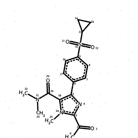 CC(=O)c1nc(-c2ccc(S(=O)(=O)C3CC3)cc2)c(C(=O)N(C)C)n1C